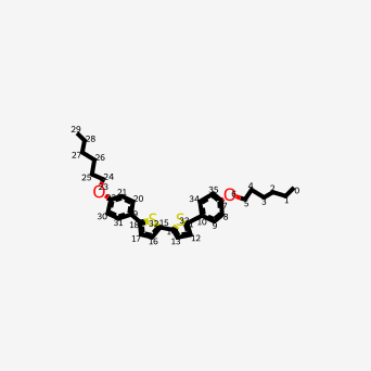 CCCCCCOc1ccc(-c2ccc(-c3ccc(-c4ccc(OCCCCCC)cc4)s3)s2)cc1